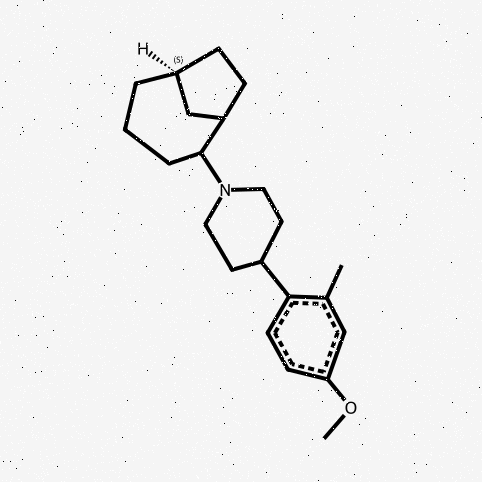 COc1ccc(C2CCN(C3CCC[C@H]4CCC3C4)CC2)c(C)c1